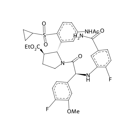 CCOC(=O)[C@@H]1CCN(C(=O)[C@@H](Nc2cc(C(N)=O)ccc2F)c2ccc(F)c(OC)c2)[C@H]1c1cc(NC(C)=O)ccc1S(=O)(=O)C1CC1